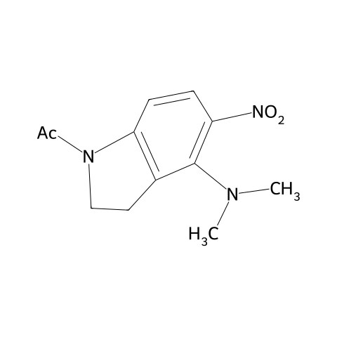 CC(=O)N1CCc2c1ccc([N+](=O)[O-])c2N(C)C